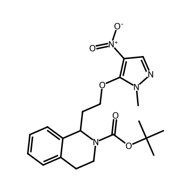 Cn1ncc([N+](=O)[O-])c1OCCC1c2ccccc2CCN1C(=O)OC(C)(C)C